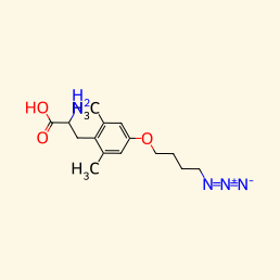 Cc1cc(OCCCCN=[N+]=[N-])cc(C)c1CC(N)C(=O)O